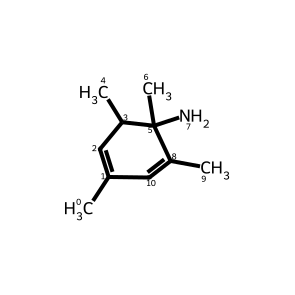 CC1=CC(C)C(C)(N)C(C)=C1